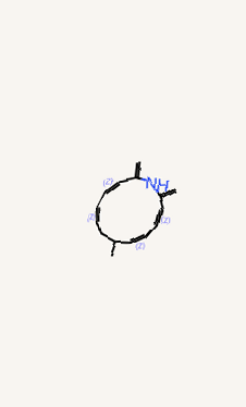 C=C1/C=C\C=C/CC(C)/C=C\C=C/C(=C)N1